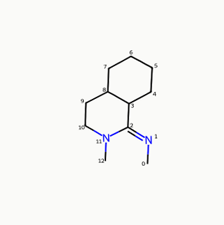 C/N=C1/C2CCCCC2CCN1C